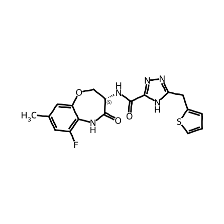 Cc1cc(F)c2c(c1)OC[C@H](NC(=O)c1nnc(Cc3cccs3)[nH]1)C(=O)N2